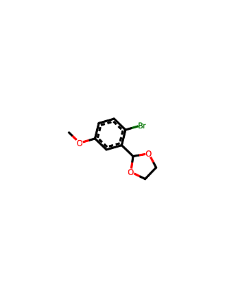 COc1ccc(Br)c(C2OCCO2)c1